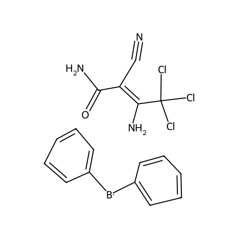 N#C/C(C(N)=O)=C(/N)C(Cl)(Cl)Cl.[B](c1ccccc1)c1ccccc1